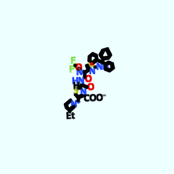 CCc1ccc[n+](CC2=C(C(=O)[O-])N3C(=O)C(NC(=O)C(=NOC(F)F)c4csc(NC(c5ccccc5)(c5ccccc5)c5ccccc5)n4)[C@@H]3SC2)c1